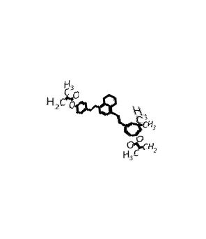 C=C(C)C(=O)OC1=CC(C)(C)C=C(CCc2ccc(CCc3ccc(OC(=O)C(=C)C)cc3)c3c2CCCC3)C=C1